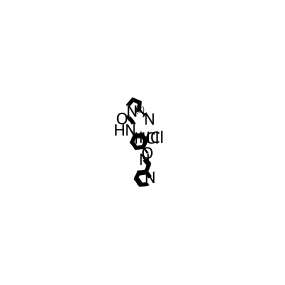 Cl.Cl.N#C[C@@H]1CCCN1C(=O)CN[C@H]1CC[C@H](ON=Cc2ccccn2)CC1